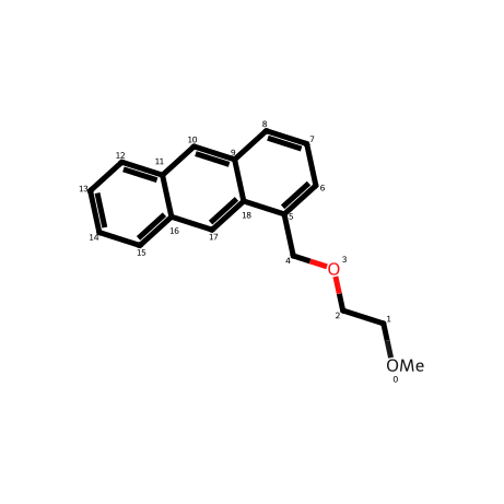 COCCOCc1cccc2cc3ccccc3cc12